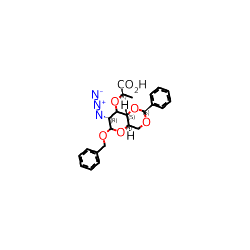 C[C@@H](OC1[C@@H](N=[N+]=[N-])C(OCc2ccccc2)O[C@@H]2CO[C@H](c3ccccc3)O[C@@H]12)C(=O)O